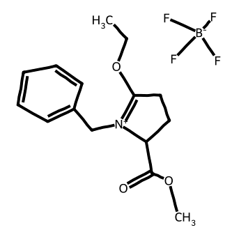 CCOC1=[N+](Cc2ccccc2)C(C(=O)OC)CC1.F[B-](F)(F)F